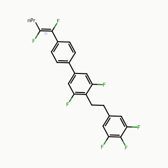 CCC/C(F)=C(\F)c1ccc(-c2cc(F)c(CCc3cc(F)c(F)c(F)c3)c(F)c2)cc1